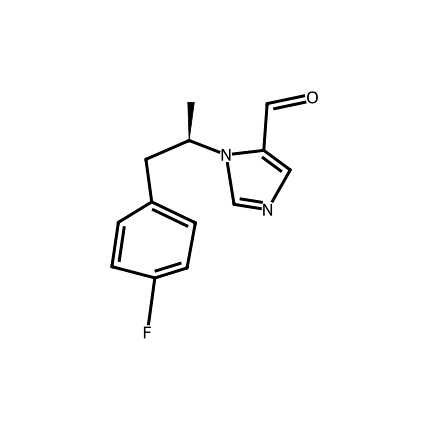 C[C@H](Cc1ccc(F)cc1)n1cncc1C=O